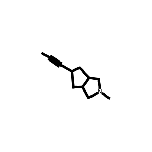 CC#CC1CC2CN(C)CC2C1